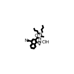 CCCCN(CCCC)C(C)NC(=O)c1cc(C#N)c2ccccc2c1OC.Cl